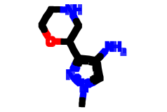 Cn1cc(N)c(C2CNCCO2)n1